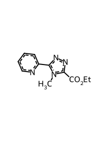 CCOC(=O)c1nnc(-c2ccccn2)n1C